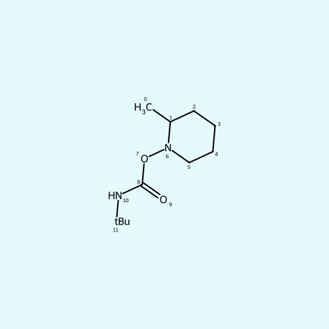 CC1CCCCN1OC(=O)NC(C)(C)C